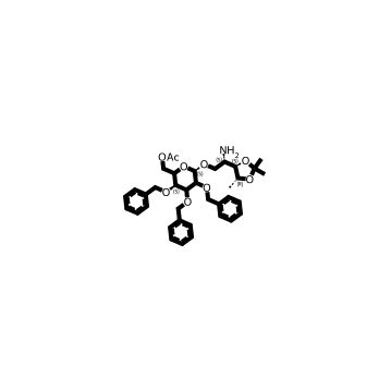 CC(=O)OCC1O[C@H](OC[C@H](N)[C@@H]2OC(C)(C)O[C@@H]2C)C(OCc2ccccc2)C(OCc2ccccc2)[C@H]1OCc1ccccc1